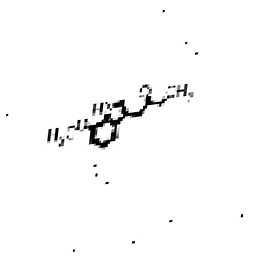 CCC(=O)Cc1c[nH]c2c(OC)cccc12